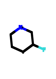 FC1[CH]CC[N]C1